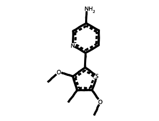 COc1sc(-c2ccc(N)cn2)c(OC)c1C